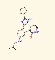 CC(C)CNc1ccc2c(c1)c1c(=O)[nH]ccc1c1[nH]c(C3CCCC3)nc21